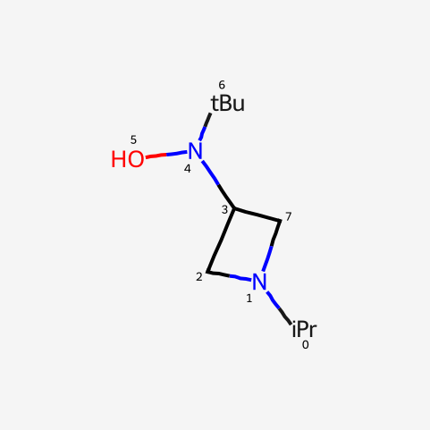 CC(C)N1CC(N(O)C(C)(C)C)C1